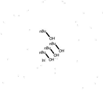 CCCCO.CCCCO.CCCCO.CCCCO.[In]